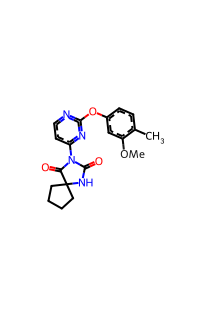 COc1cc(Oc2nccc(N3C(=O)NC4(CCCC4)C3=O)n2)ccc1C